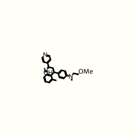 COCCN(C)c1ccc(C(C/C(=N\O)c2ccncc2)c2ccccc2C)cc1